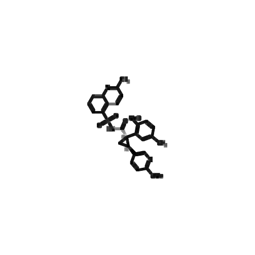 COc1ccc([C@H]2C[C@@]2(C(=O)NS(=O)(=O)c2cccc3nc(C)ccc23)c2cc(C)ccc2OC)cn1